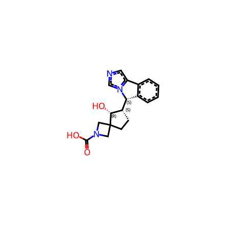 O=C(O)N1CC2(CC[C@@H]([C@H]3c4ccccc4-c4cncn43)[C@H]2O)C1